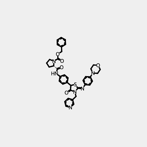 O=C(Nc1ccc(C2S/C(=N\c3ccc(N4CCOCC4)cc3)N(Cc3cccnc3)C2=O)cc1)[C@@H]1CCCN1C(=O)OCc1ccccc1